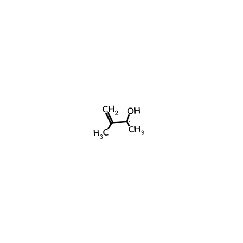 C=C(C)[C](C)O